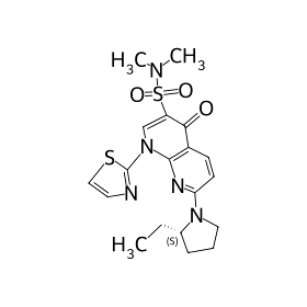 CC[C@H]1CCCN1c1ccc2c(=O)c(S(=O)(=O)N(C)C)cn(-c3nccs3)c2n1